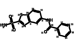 NS(=O)(=O)c1nc2cc(NC(=O)c3cccnc3)ccc2s1